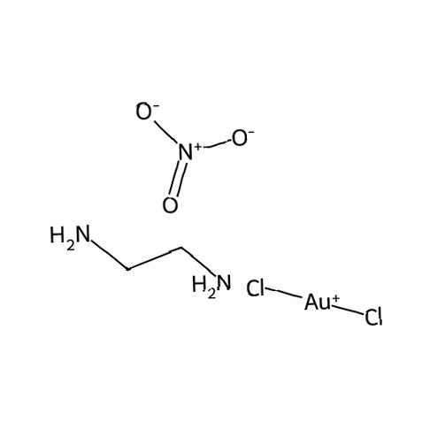 NCCN.O=[N+]([O-])[O-].[Cl][Au+][Cl]